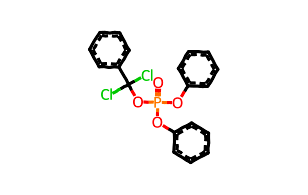 O=P(Oc1ccccc1)(Oc1ccccc1)OC(Cl)(Cl)c1ccccc1